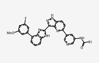 CCC(=O)Nc1cncc(-c2ccc3[nH]nc(-c4nc5c(-c6cc(F)cc(OC)c6)cccc5[nH]4)c3n2)c1